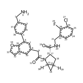 NCc1ccc(-c2cc(CC(=O)N3[C@@H]4C[C@@H]4C[C@H]3C(=O)NCc3cccc(Cl)c3F)cc3ccoc23)cc1